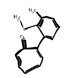 CSc1c(C)cccc1-c1cccccc1=O